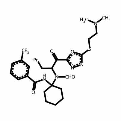 CC(C)CC(C(=O)c1nnc(SCCN(C)C)o1)N(C=O)C1(NC(=O)c2cccc(C(F)(F)F)c2)CCCCC1